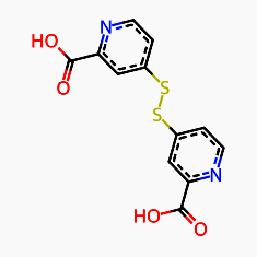 O=C(O)c1cc(SSc2ccnc(C(=O)O)c2)ccn1